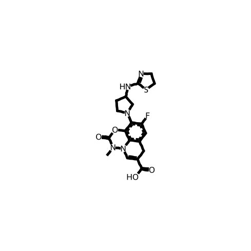 CN1C(=O)Oc2c(N3CCC(NC4=NCCS4)C3)c(F)cc3c2N1C=C(C(=O)O)C3